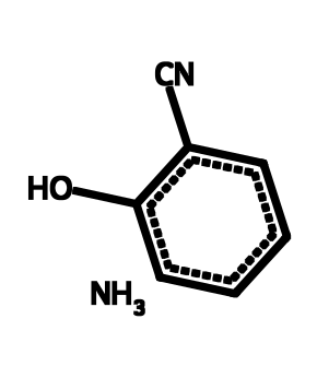 N.N#Cc1ccccc1O